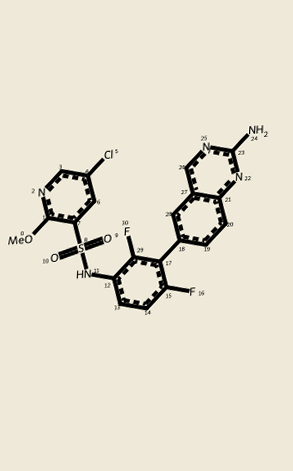 COc1ncc(Cl)cc1S(=O)(=O)Nc1ccc(F)c(-c2ccc3nc(N)ncc3c2)c1F